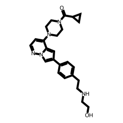 O=C(C1CC1)N1CCN(c2ccnn3cc(-c4ccc(CCNCCO)cc4)cc23)CC1